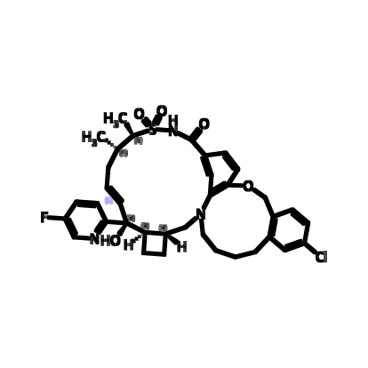 C[C@@H]1[C@@H](C)C/C=C/[C@@](O)(c2ccc(F)cn2)[C@@H]2CC[C@H]2CN2CCCCc3cc(Cl)ccc3COc3ccc(cc32)C(=O)NS1(=O)=O